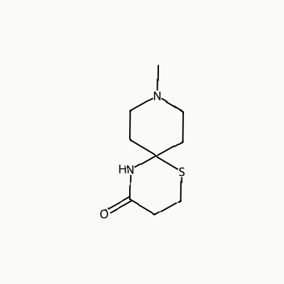 CN1CCC2(CC1)NC(=O)CCS2